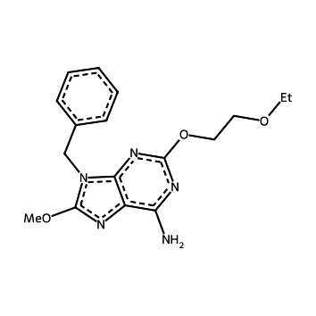 CCOCCOc1nc(N)c2nc(OC)n(Cc3ccccc3)c2n1